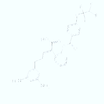 Nc1cc(N)cc(CC/C=C(/C(=O)O)c2ccccc2OC(=O)c2ccc(OC(F)(F)C(F)F)cc2)c1